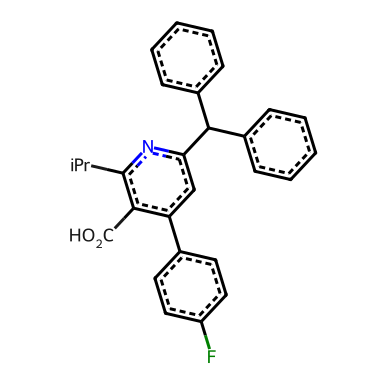 CC(C)c1nc(C(c2ccccc2)c2ccccc2)cc(-c2ccc(F)cc2)c1C(=O)O